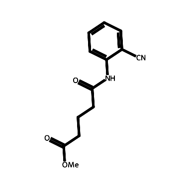 COC(=O)CCCC(=O)Nc1ccccc1C#N